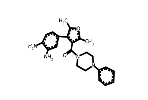 Cc1oc(C)c(-c2ccc(N)c(N)c2)c1C(=O)N1CCN(c2ccccc2)CC1